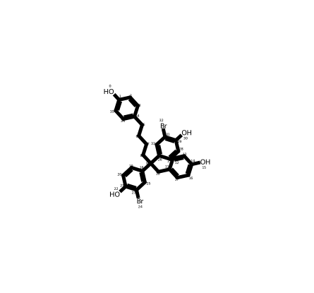 Oc1ccc(CCCCC(Cc2ccc(O)cc2)(c2ccc(O)c(Br)c2)c2ccc(O)c(Br)c2)cc1